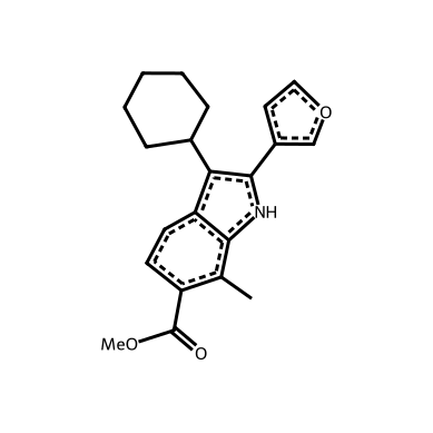 COC(=O)c1ccc2c(C3CCCCC3)c(-c3ccoc3)[nH]c2c1C